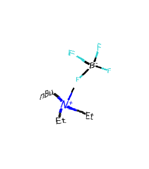 CCCC[N+](C)(CC)CC.F[B-](F)(F)F